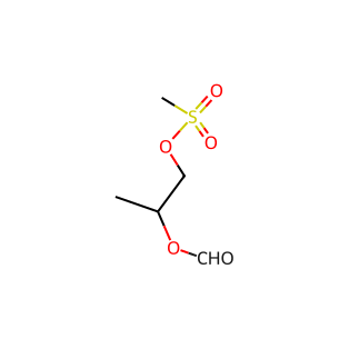 CC(COS(C)(=O)=O)OC=O